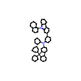 c1ccc(N(c2cccc(-c3ccc4c5ccccc5n(-c5cccc6ccccc56)c4c3)c2)c2ccc3c(c2)C(c2ccccc2)(c2ccccc2)c2ccccc2-3)cc1